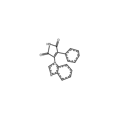 O=C1NC(=O)C(n2cnc3ccccc32)=C1c1ccccc1